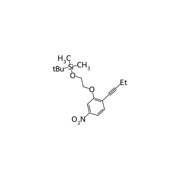 CCC#Cc1ccc([N+](=O)[O-])cc1OCCO[Si](C)(C)C(C)(C)C